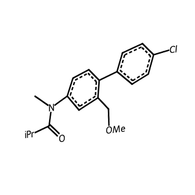 COCc1cc(N(C)C(=O)C(C)C)ccc1-c1ccc(Cl)cc1